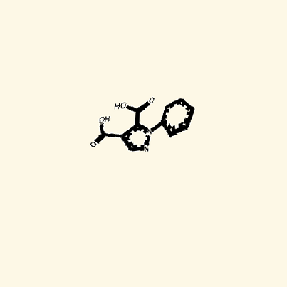 O=C(O)c1cnn(-c2ccccc2)c1C(=O)O